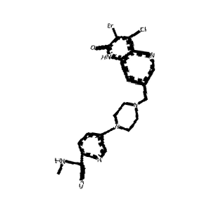 CNC(=O)c1ccc(N2CCN(Cc3cnc4c(Cl)c(Br)c(=O)[nH]c4c3)CC2)cn1